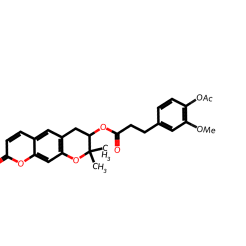 COc1cc(CCC(=O)OC2Cc3cc4ccc(=O)oc4cc3OC2(C)C)ccc1OC(C)=O